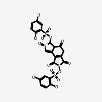 O=C1CC2=C(C(=O)N(OS(=O)(=O)c3cc(Cl)ccc3Cl)C2=O)C2=C[N+](=O)C(OS(=O)(=O)c3cc(Cl)ccc3Cl)C12